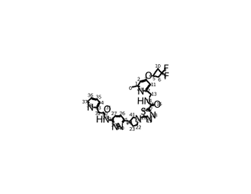 Cc1cc(OC2CC(F)(F)C2)cc(CNC(=O)c2nnc(N3CC[C@@H](c4ccc(NC(=O)Cc5ccccn5)nn4)C3)s2)n1